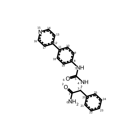 NC(=O)[C@H](NC(=O)Nc1ccc(-c2ccncc2)cc1)c1ccccc1